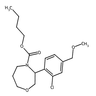 CCCCOC(=O)N1CCCOCC1c1ccc(COC)cc1Cl